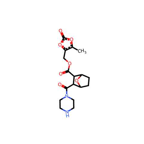 Cc1oc(=O)oc1COC(=O)C1C2CCC(O2)C1C(=O)N1CCNCC1